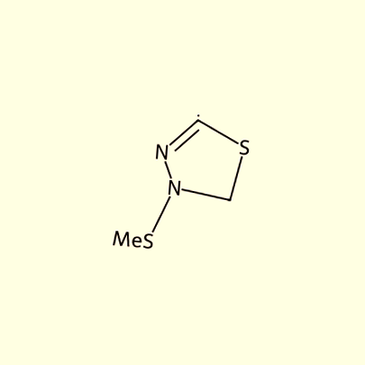 CSN1CS[C]=N1